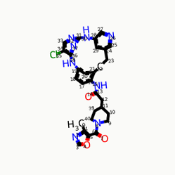 Cc1ncoc1C(=O)N1CCC(CC(=O)Nc2ccc3cc2CCc2cncc(c2)Nc2ncc(Cl)c(n2)N3)CC1